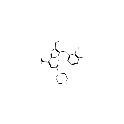 Cc1cccc(Cc2c(CF)nc3c(C(N)=O)cc(N4CCOCC4)nn23)c1C